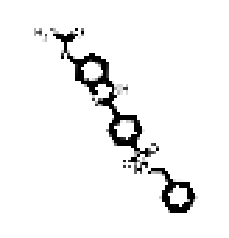 NC(=O)Oc1ccc2[nH]c(-c3ccc(S(=O)(=O)NCc4ccccc4)cc3)nc2c1